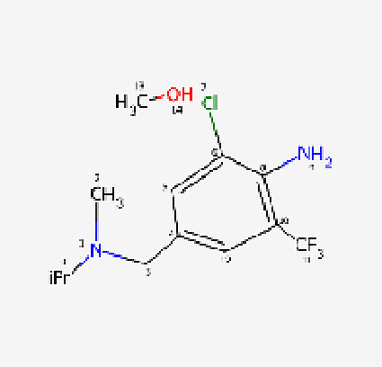 CC(C)N(C)Cc1cc(Cl)c(N)c(C(F)(F)F)c1.CO